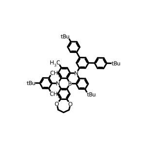 Cc1cc2c3c(c1)N(c1c(C)cc(C(C)(C)C)cc1C)c1cc4c(cc1B3c1cc(C(C)(C)C)ccc1N2c1cc(-c2ccc(C(C)(C)C)cc2)cc(-c2ccc(C(C)(C)C)cc2)c1)OCCCO4